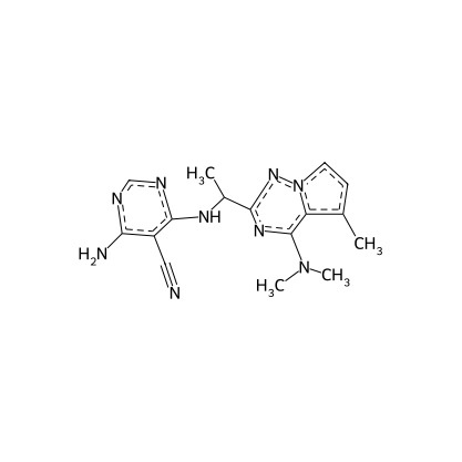 Cc1ccn2nc(C(C)Nc3ncnc(N)c3C#N)nc(N(C)C)c12